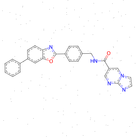 O=C(NCc1ccc(-c2nc3ccc(-c4ccccc4)cc3o2)cc1)c1cnc2nccn2c1